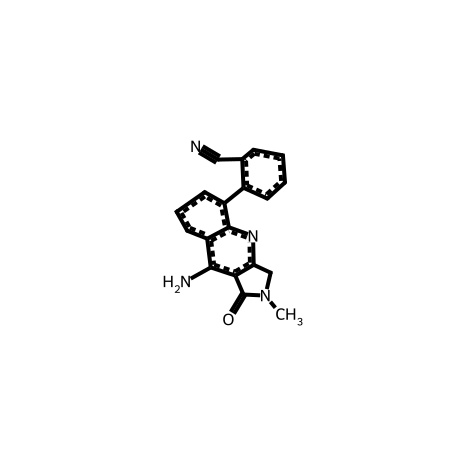 CN1Cc2nc3c(-c4ccccc4C#N)cccc3c(N)c2C1=O